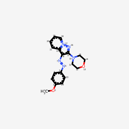 COc1ccc(N=Nc2c(N3CCOCC3)nn3ccccc23)cc1